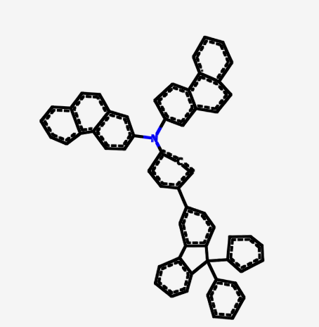 c1ccc(C2(c3ccccc3)c3ccccc3-c3cc(-c4ccc(N(c5ccc6c(ccc7ccccc76)c5)c5ccc6c(ccc7ccccc76)c5)cc4)ccc32)cc1